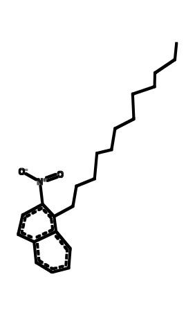 CCCCCCCCCCCCc1c([N+](=O)[O-])ccc2ccccc12